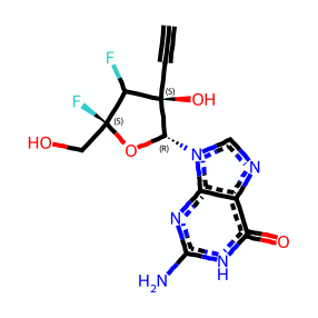 C#C[C@@]1(O)C(F)[C@@](F)(CO)O[C@H]1n1cnc2c(=O)[nH]c(N)nc21